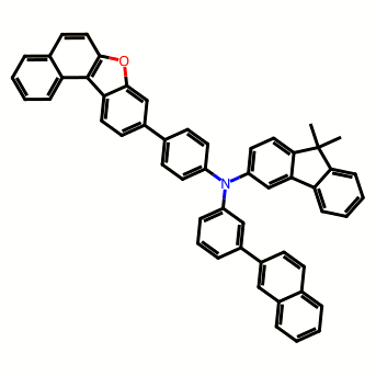 CC1(C)c2ccccc2-c2cc(N(c3ccc(-c4ccc5c(c4)oc4ccc6ccccc6c45)cc3)c3cccc(-c4ccc5ccccc5c4)c3)ccc21